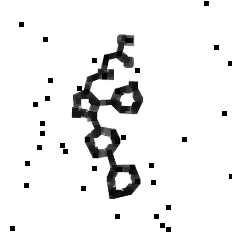 O=C(O)CNCc1cnn(-c2ccc(-c3ccccc3)cc2)c1-c1cccnc1